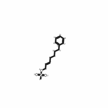 CS(=O)(=O)OCC=CCCCCc1ccccc1